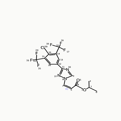 CC(C)OC(=O)/C=C\n1cnc(-c2cc(C(F)(F)F)c(Cl)c(C(F)(F)F)c2)n1